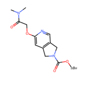 CCCCOC(=O)N1Cc2cnc(OCC(=O)N(C)C)cc2C1